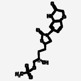 CS(=O)(=O)OC[C@@H](O)CCC1CN(c2ccc3c(c2)NC(=O)CO3)C(=O)O1